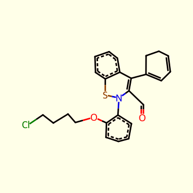 O=CC1=C(C2=CC=CCC2)c2ccccc2SN1c1ccccc1OCCCCCl